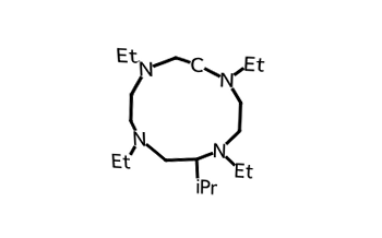 CCN1CCN(CC)CCN(CC)C(C(C)C)CN(CC)CC1